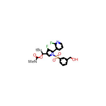 CNC(=O)OC(c1cn(S(=O)(=O)c2cccc(CO)c2)c(-c2cccnc2F)c1F)C(C)(C)C